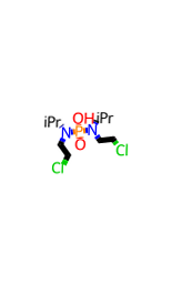 CC(C)N(CCCl)P(=O)(O)N(CCCl)C(C)C